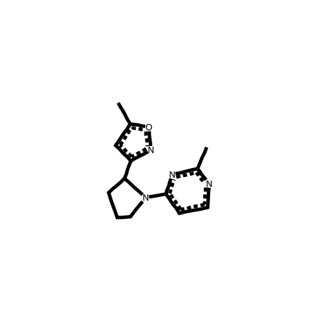 Cc1nccc(N2CCCC2c2cc(C)on2)n1